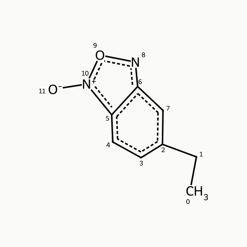 CCc1ccc2c(c1)no[n+]2[O-]